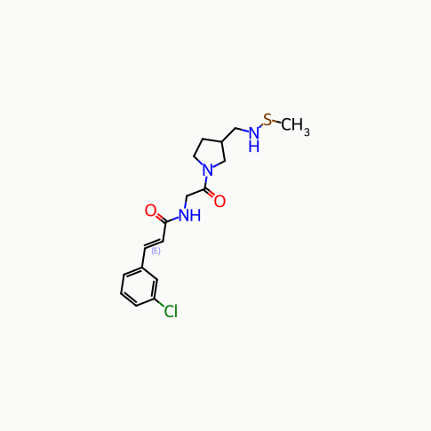 CSNCC1CCN(C(=O)CNC(=O)/C=C/c2cccc(Cl)c2)C1